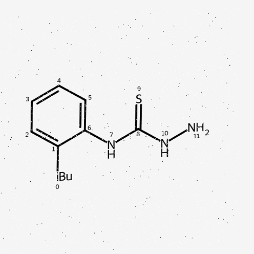 CCC(C)c1ccccc1NC(=S)NN